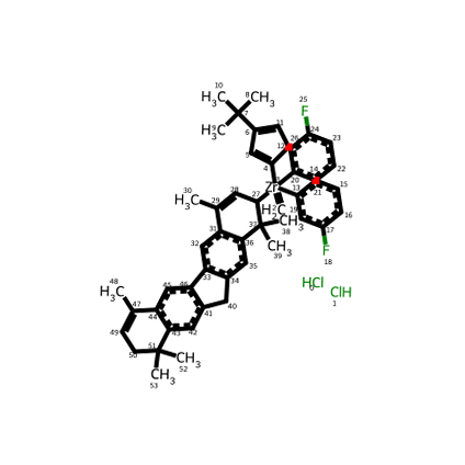 Cl.Cl.[CH2]=[Zr]([C]1=CC(C(C)(C)C)=CC1)([c]1cccc(F)c1)([c]1cccc(F)c1)[CH]1C=C(C)c2cc3c(cc2C1(C)C)Cc1cc2c(cc1-3)C(C)=CCC2(C)C